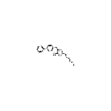 CCCCCCC1CN(Cc2ccc(-c3ccccc3)cc2)C(=O)O1